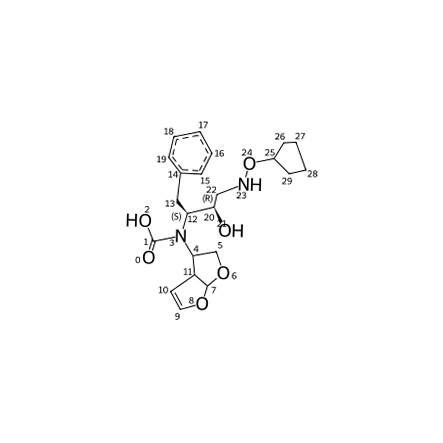 O=C(O)N(C1COC2OC=CC21)[C@@H](Cc1ccccc1)[C@H](O)CNOC1CCCC1